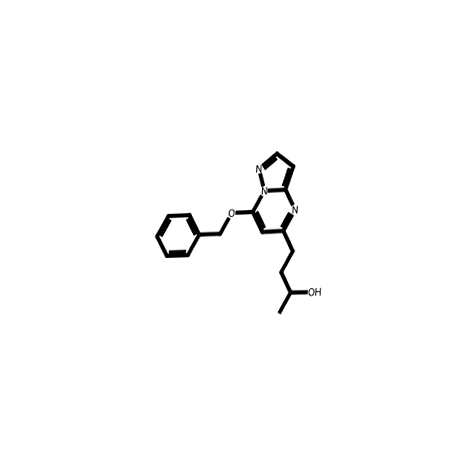 CC(O)CCc1cc(OCc2ccccc2)n2nccc2n1